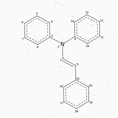 C(=CN(c1ccccc1)c1ccccc1)c1ccccc1